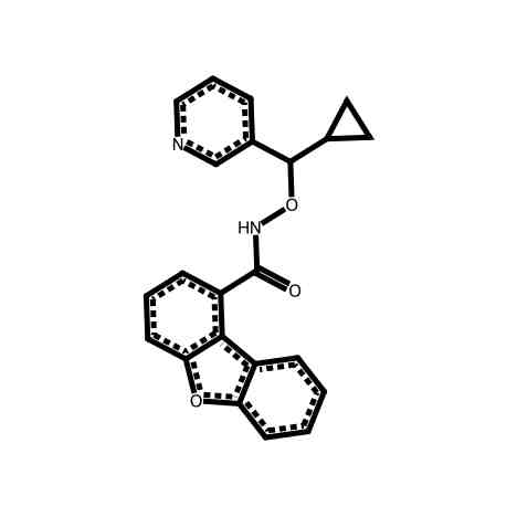 O=C(NOC(c1cccnc1)C1CC1)c1cccc2oc3ccccc3c12